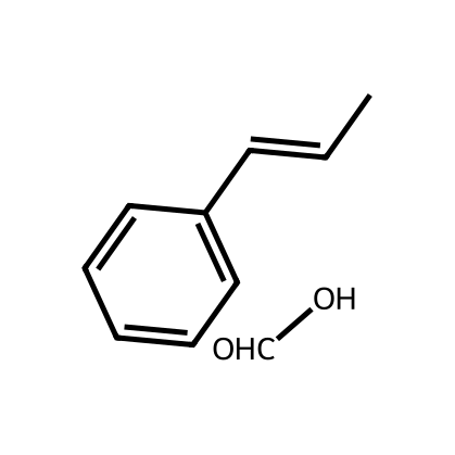 CC=Cc1ccccc1.O=CO